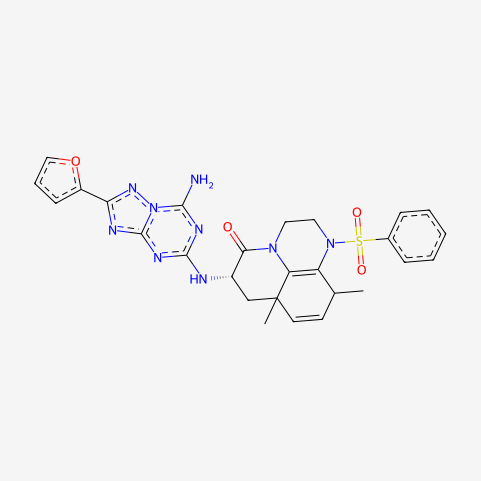 CC1C=CC2(C)C[C@H](Nc3nc(N)n4nc(-c5ccco5)nc4n3)C(=O)N3CCN(S(=O)(=O)c4ccccc4)C1=C32